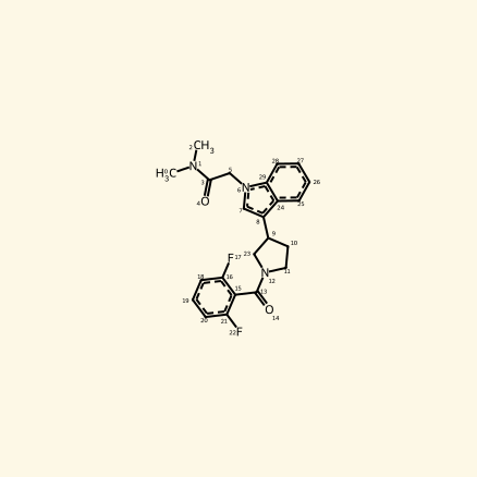 CN(C)C(=O)Cn1cc(C2CCN(C(=O)c3c(F)cccc3F)C2)c2ccccc21